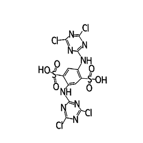 O=S(=O)(O)c1cc(Nc2nc(Cl)nc(Cl)n2)c(S(=O)(=O)O)cc1Nc1nc(Cl)nc(Cl)n1